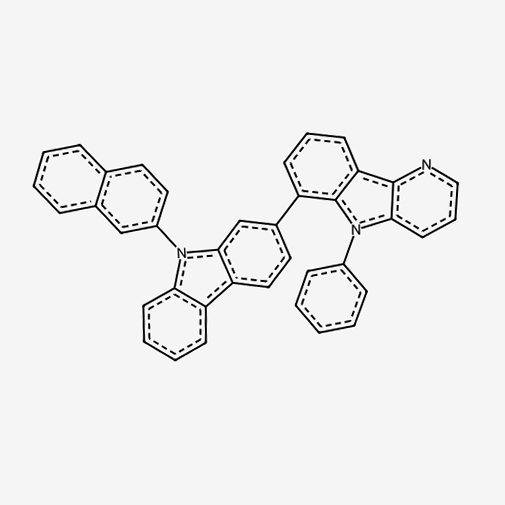 c1ccc(-n2c3cccnc3c3cccc(-c4ccc5c6ccccc6n(-c6ccc7ccccc7c6)c5c4)c32)cc1